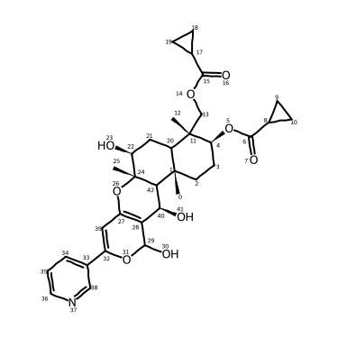 C[C@]12CC[C@H](OC(=O)C3CC3)[C@@](C)(COC(=O)C3CC3)C1C[C@H](O)[C@@]1(C)OC3=C(C(O)OC(c4cccnc4)=C3)[C@H](O)C21